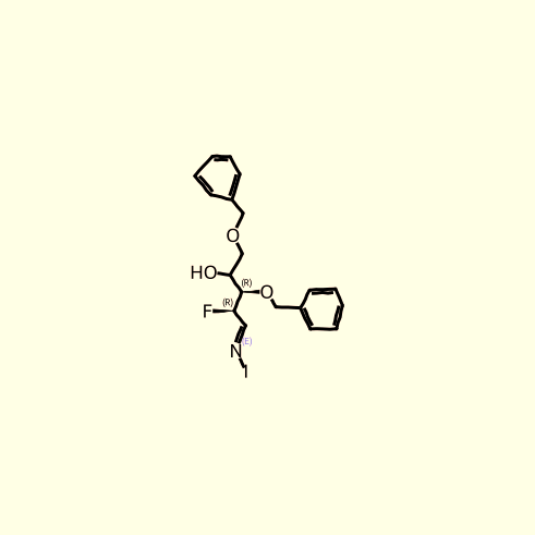 OC(COCc1ccccc1)[C@@H](OCc1ccccc1)[C@H](F)/C=N/I